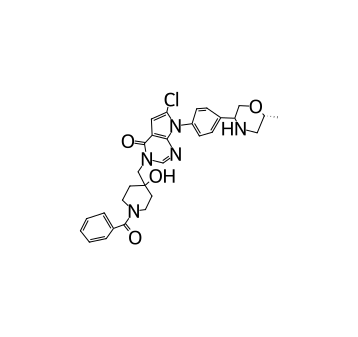 C[C@@H]1CNC(c2ccc(-n3c(Cl)cc4c(=O)n(CC5(O)CCN(C(=O)c6ccccc6)CC5)cnc43)cc2)CO1